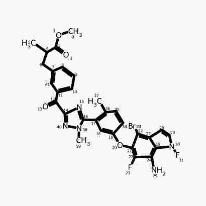 COC(=O)C(C)Cc1cccc(C(=O)c2nc(-c3cc(Oc4c(F)c(N)c5c(ccn5F)c4Br)ccc3C)n(C)n2)c1